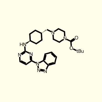 CC(C)(C)OC(=O)N1CCN(C[C@H]2CC[C@H](Nc3nccc(-n4nnc5ccccc54)n3)CC2)CC1